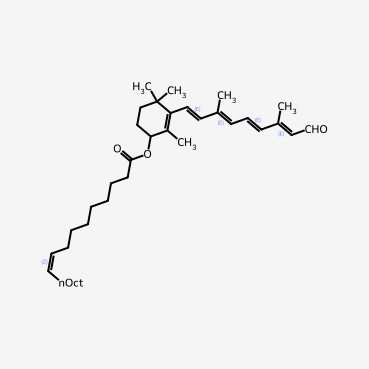 CCCCCCCC/C=C\CCCCCCCC(=O)OC1CCC(C)(C)C(/C=C/C(C)=C/C=C/C(C)=C/C=O)=C1C